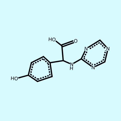 O=C(O)C(Nc1ncncn1)c1ccc(O)cc1